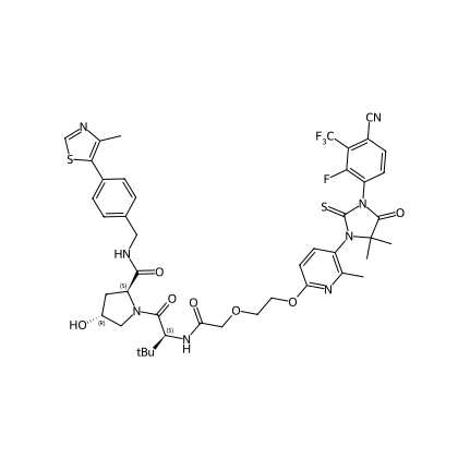 Cc1nc(OCCOCC(=O)N[C@H](C(=O)N2C[C@H](O)C[C@H]2C(=O)NCc2ccc(-c3scnc3C)cc2)C(C)(C)C)ccc1N1C(=S)N(c2ccc(C#N)c(C(F)(F)F)c2F)C(=O)C1(C)C